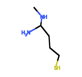 CNC(N)CCCS